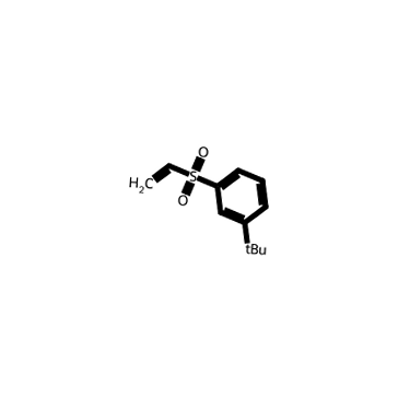 C=CS(=O)(=O)c1cccc(C(C)(C)C)c1